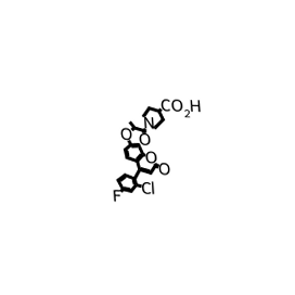 CC(Oc1ccc2c(-c3ccc(F)cc3Cl)cc(=O)oc2c1)C(=O)N1CCC(C(=O)O)CC1